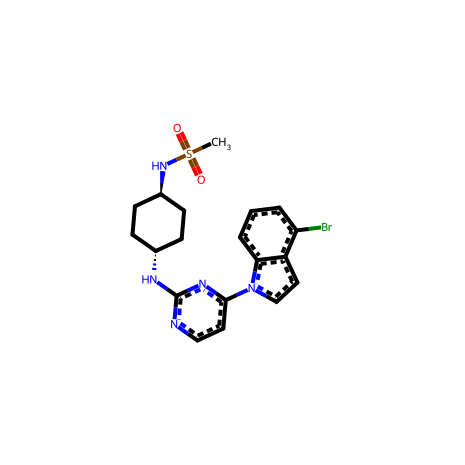 CS(=O)(=O)N[C@H]1CC[C@H](Nc2nccc(-n3ccc4c(Br)cccc43)n2)CC1